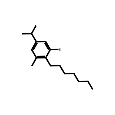 CCC[CH]CCCc1c(C)cc(C(C)C)cc1Br